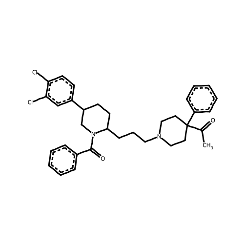 CC(=O)C1(c2ccccc2)CCN(CCCC2CCC(c3ccc(Cl)c(Cl)c3)CN2C(=O)c2ccccc2)CC1